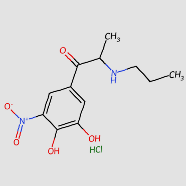 CCCNC(C)C(=O)c1cc(O)c(O)c([N+](=O)[O-])c1.Cl